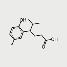 CC(C)C(CCC(=O)O)c1cc(F)ccc1O